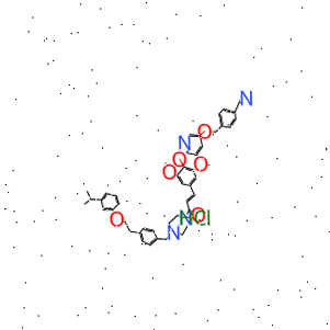 COc1cc(C=CC(=O)N2CCN(Cc3ccc(CCOc4cccc(C(C)C)c4)cc3)CC2)cc(OC)c1Oc1ccc(OCc2ccc(C#N)cc2)cn1.Cl